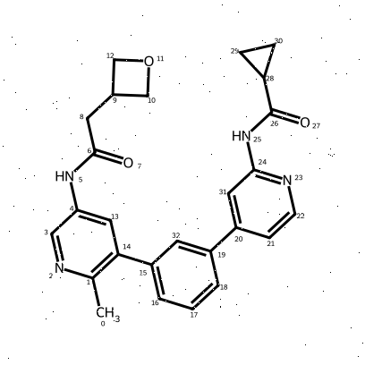 Cc1ncc(NC(=O)CC2COC2)cc1-c1cccc(-c2ccnc(NC(=O)C3CC3)c2)c1